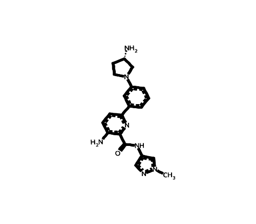 Cn1cc(NC(=O)c2nc(-c3cccc(N4CC[C@H](N)C4)c3)ccc2N)cn1